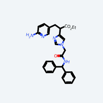 CCOC(=O)C(Cc1ccc(N)nc1)c1cn(CC(=O)NC(c2ccccc2)c2ccccc2)cn1